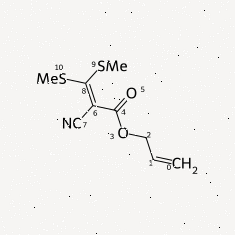 C=CCOC(=O)C(C#N)=C(SC)SC